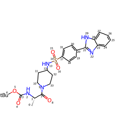 C[C@H](NC(=O)OC(C)(C)C)C(=O)N1CCC(NS(=O)(=O)c2ccc(-c3nc4ccccc4[nH]3)cc2)CC1